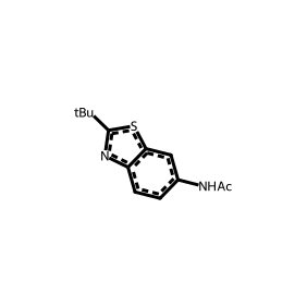 CC(=O)Nc1ccc2nc(C(C)(C)C)sc2c1